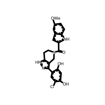 COc1ccc2[nH]c(C(=O)N3CCc4[nH]nc(-c5cc(Cl)c(O)cc5O)c4C3)cc2c1